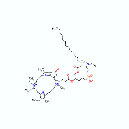 C=CC1=C(C)c2cc3[nH]c(c4c5nc(cc6[nH]c(cc1n2)c(C)c6CC)C(C)=C5C(=O)C4)C(CCC(=O)OC(CCCP(=O)(O)OCCN(C)C)COC(=O)CCCCCCCCCCCCCCC)C3C